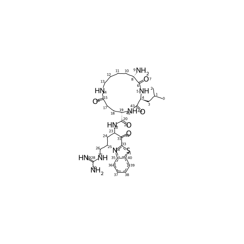 CC(C)C[C@@H]1NC(=O)[C@@H](N)CCCCNC(=O)CC[C@@H](C(=O)NC(CCCNC(=N)N)C(=O)c2nc3ccccc3s2)NC1=O